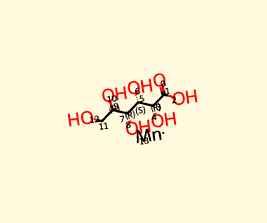 O=C(O)[C@H](O)[C@@H](O)[C@H](O)[C@H](O)CO.[Mn]